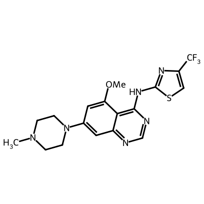 COc1cc(N2CCN(C)CC2)cc2ncnc(Nc3nc(C(F)(F)F)cs3)c12